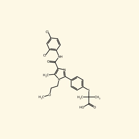 COCCn1c(-c2ccc(SC(C)(C)C(=O)O)cc2)nc(C(=O)Nc2ccc(Cl)cc2Cl)c1C